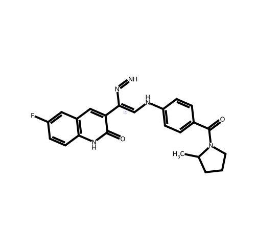 CC1CCCN1C(=O)c1ccc(N/C=C(\N=N)c2cc3cc(F)ccc3[nH]c2=O)cc1